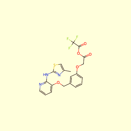 Cc1csc(Nc2ncccc2OCc2cccc(OCC(=O)OC(=O)C(F)(F)F)c2)n1